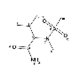 CC(C)C(C(N)=O)N(C)S(C)(=O)=O